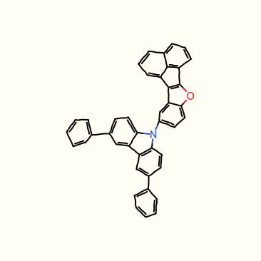 c1ccc(-c2ccc3c(c2)c2cc(-c4ccccc4)ccc2n3-c2ccc3oc4c(c3c2)-c2cccc3cccc-4c23)cc1